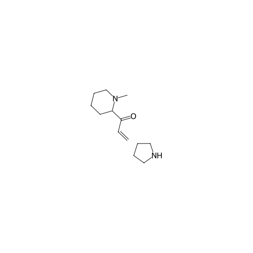 C1CCNC1.C=CC(=O)C1CCCCN1C